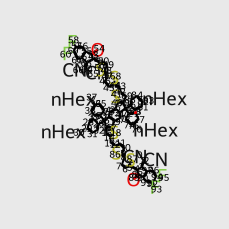 [C-]#[N+]/C(C#N)=C1\C(=c2\cc/c(=c3/cc/c(=C\c4cc5c(s4)-c4cc6c(cc4C5(c4ccc(CCCCCC)cc4)c4ccc(CCCCCC)cc4)-c4sc(/C=c5\cc/c(=c7/cc/c(=C8\C(=O)c9cc(F)c(F)cc9\C8=C(\C#N)[N+]#[C-])s7)s5)cc4C6(c4ccc(CCCCCC)cc4)c4ccc(CCCCCC)cc4)s3)s2)C(=O)c2cc(F)c(F)cc21